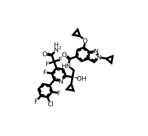 NC(=O)C(F)(F)c1cc([C@@](O)(CNC(=O)c2cc(OC3CC3)c3nn(C4CC4)cc3c2)C2CC2)nc(-c2ccc(F)c(Cl)c2F)c1F